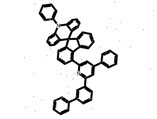 c1ccc(-c2cccc(-c3cc(-c4ccccc4)cc(-c4cccc5c4-c4ccccc4C54c5ccccc5N(c5ccccc5)c5ccccc54)n3)c2)cc1